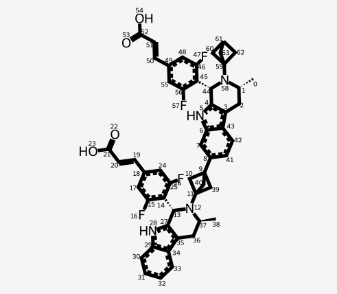 C[C@@H]1Cc2c([nH]c3cc(C45CC(N6[C@@H](c7c(F)cc(/C=C/C(=O)O)cc7F)c7[nH]c8ccccc8c7C[C@@H]6C)(C4)C5)ccc23)[C@H](c2c(F)cc(/C=C/C(=O)O)cc2F)N1C12CC(C1)C2